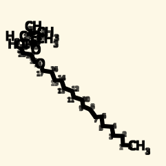 CCCCCCCCCCCCCCCCCCOCC(CO)O[Si](C)(C)C(C)(C)C